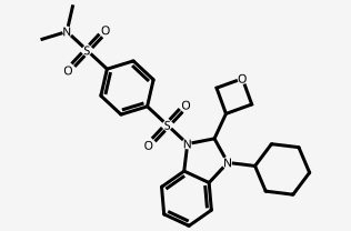 CN(C)S(=O)(=O)c1ccc(S(=O)(=O)N2c3ccccc3N(C3CCCCC3)C2C2COC2)cc1